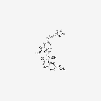 COc1ccc2ncc(Cl)c([C@@H](O)CCC3(CC(=O)O)CCN(CC#Cc4cscn4)CC3)c2c1